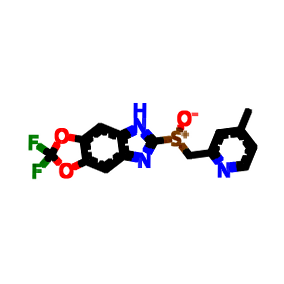 Cc1ccnc(C[S+]([O-])c2nc3cc4c(cc3[nH]2)OC(F)(F)O4)c1